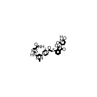 Cc1nc(Nc2ncc(C(N)=O)s2)cc(N2CCN(C(=O)CSc3cccc4c3C(=O)N(C3CCC(=O)NC3=O)C4=O)CC2)n1